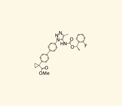 COC(=O)C1(c2ccc(-c3ccc(-n4nnc(C)c4NC(=O)O[C@H](C)c4ccccc4F)cc3)cc2)CC1